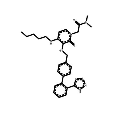 CCCCCNc1ccn(CC(=O)N(C)C)c(=O)c1NCc1ccc(-c2ccccc2-c2nnn[nH]2)cc1